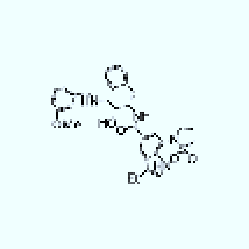 CCc1c[nH]c2c(N3CCCS3(=O)=O)cc(C(=O)N[C@@H](Cc3ccccc3)[C@H](O)CNCc3cccc(OC)c3)cc12